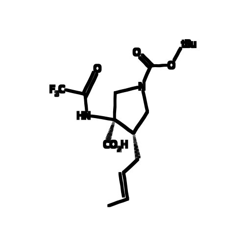 CC=CC[C@H]1CN(C(=O)OC(C)(C)C)C[C@@]1(NC(=O)C(F)(F)F)C(=O)O